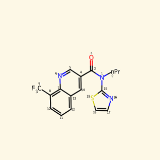 CCCN(C(=O)c1cnc2c(C(F)(F)F)cccc2c1)c1nccs1